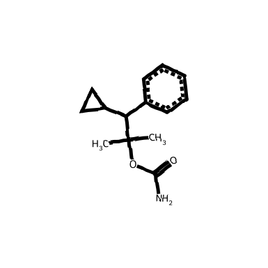 CC(C)(OC(N)=O)C(c1ccccc1)C1CC1